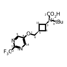 CC(C)(C)N(C(=O)O)[C@H]1C[C@@H](COc2cnc(C(F)(F)F)nc2)C1